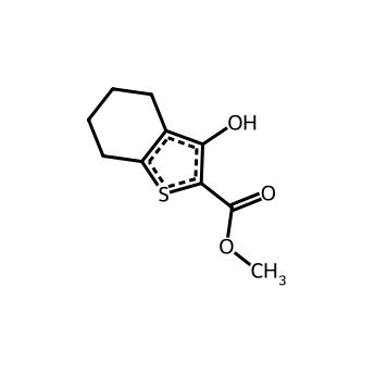 COC(=O)c1sc2c(c1O)CCCC2